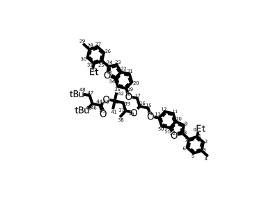 CCc1cc(C)ccc1-c1cc2ccc(OCC(COc3ccc4cc(-c5ccc(C)cc5CC)oc4c3)OC(C)CC(C)(C)OC(=O)C(CC(C)(C)C)C(C)(C)C)cc2o1